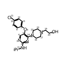 CC(C)Nc1ncc(Oc2ccc(Cl)cc2)c(N2CCN(CCO)CC2)n1